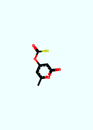 Cc1cc(OC(=O)S)cc(=O)o1